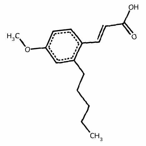 CCCCCc1cc(OC)ccc1/C=C/C(=O)O